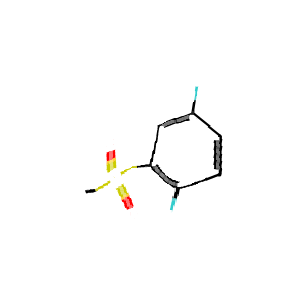 CS(=O)(=O)c1cc(F)ccc1F